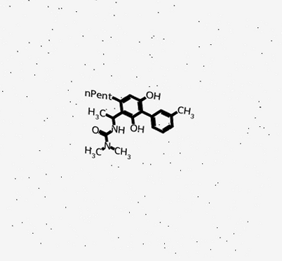 CCCCCc1cc(O)c(-c2cccc(C)c2)c(O)c1C(C)NC(=O)N(C)C